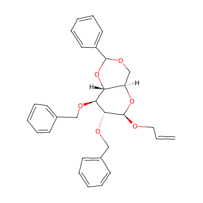 C=CCO[C@@H]1O[C@@H]2COC(c3ccccc3)O[C@H]2[C@H](OCc2ccccc2)[C@H]1OCc1ccccc1